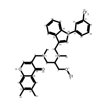 CCOCC(CN(C)Cc1coc2cc(C)c(C)cc2c1=O)N(C)Cc1cn(-c2cccc(C(F)(F)F)c2)c2ccccc12